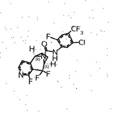 O=C(Nc1cc(Cl)c(C(F)(F)F)cc1F)N1[C@@H]2CC[C@H]1C(F)(F)c1c2ccnc1F